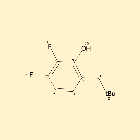 CC(C)(C)Cc1ccc(F)c(F)c1O